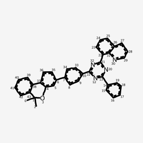 CC1(C)Oc2cc(-c3ccc(-c4nc(-c5ccccc5)nc(-c5cccc6cccnc56)n4)cc3)ccc2-c2ccccc21